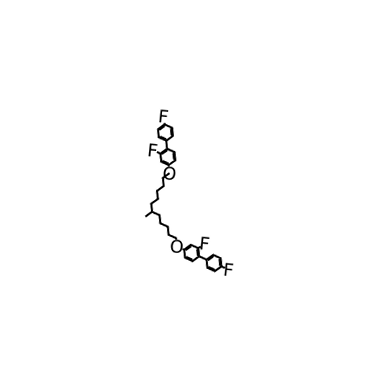 CC(CCCCCOc1ccc(-c2ccc(F)cc2)c(F)c1)CCCCCOc1ccc(-c2ccc(F)cc2)c(F)c1